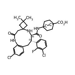 CC1(C)CC2(CC(=O)Nc3cc(Cl)ccc3C[C@@H](c3cccc(Cl)c3F)[C@H](C(=O)NC34CCC(C(=O)O)(CC3)CC4)N2)C1